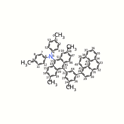 Cc1ccc(N(c2ccc(C)cc2)c2c3ccc(C)cc3c(-c3cc(C)cc(-c4ccc5ccc6cccc7ccc4c5c67)c3)c3ccc(C)cc23)cc1